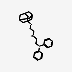 c1ccc(P(CCNCCSC23CC4CC(CC(C4)C2)C3)c2ccccc2)cc1